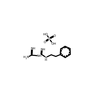 N=C(N)NC(=N)NCCc1ccccc1.O=S(=O)(O)O